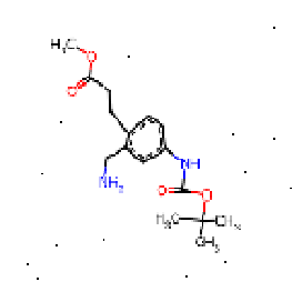 COC(=O)CCc1ccc(NC(=O)OC(C)(C)C)cc1CN